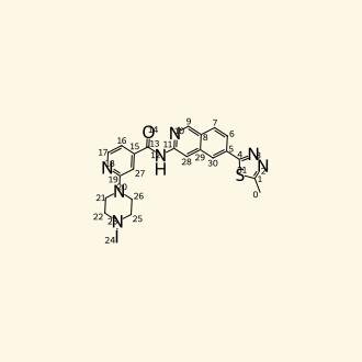 Cc1nnc(-c2ccc3cnc(NC(=O)c4ccnc(N5CCN(I)CC5)c4)cc3c2)s1